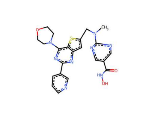 CN(Cc1cc2nc(-c3cccnc3)nc(N3CCOCC3)c2s1)c1ncc(C(=O)NO)cn1